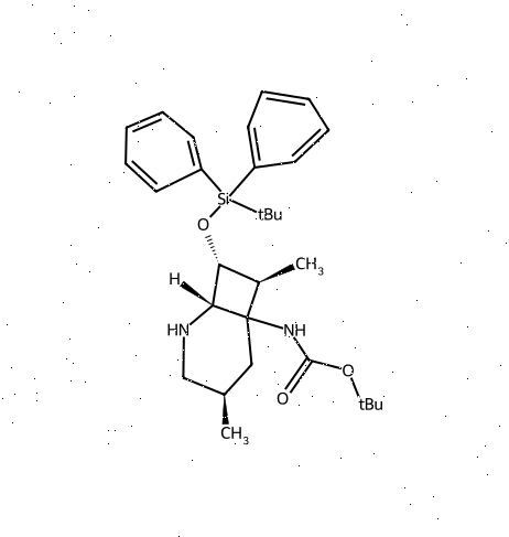 C[C@H]1CN[C@@H]2[C@H](O[Si](c3ccccc3)(c3ccccc3)C(C)(C)C)[C@@H](C)C2(NC(=O)OC(C)(C)C)C1